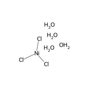 O.O.O.O.[Cl][Ni]([Cl])[Cl]